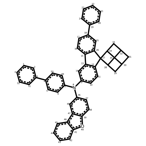 c1ccc(-c2ccc(N(c3ccc4c(c3)-c3ccc(-c5ccccc5)cc3C43C4CC5CC6CC3C564)c3ccc4oc5ccccc5c4c3)cc2)cc1